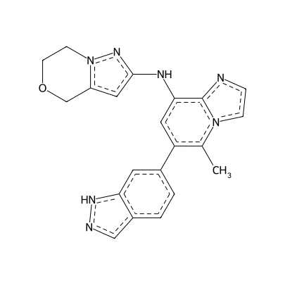 Cc1c(-c2ccc3cn[nH]c3c2)cc(Nc2cc3n(n2)CCOC3)c2nccn12